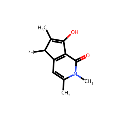 [2H]C1C(C)=C(O)c2c1cc(C)n(C)c2=O